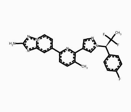 Cc1ccc(-c2ccn3nc(N)nc3c2)nc1-c1cnn([C@H](c2ccc(F)cc2)C(C)(F)F)c1